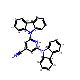 N#Cc1cc(-n2c3ccccc3c3ccccc32)nc(-n2c3ccccc3c3ccccc32)c1